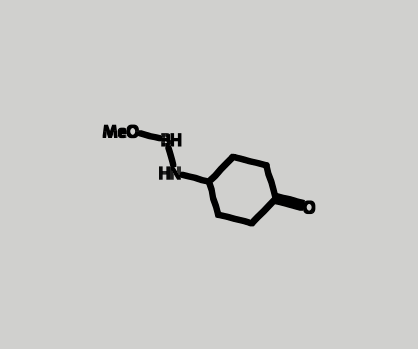 COBNC1CCC(=O)CC1